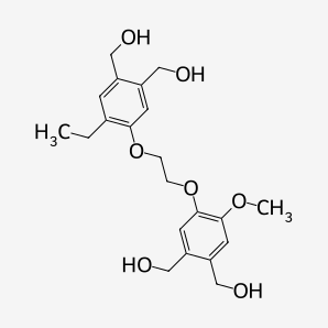 CCc1cc(CO)c(CO)cc1OCCOc1cc(CO)c(CO)cc1OC